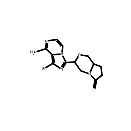 Nc1nccn2c(C3CN4C(=O)CCC4CO3)nc(Br)c12